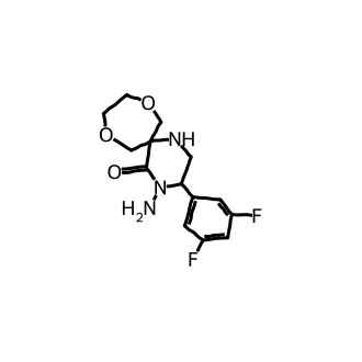 NN1C(=O)C2(COCCOC2)NCC1c1cc(F)cc(F)c1